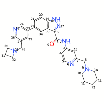 O=C(Nc1ccnc(CN2CCCCC2)c1)c1n[nH]c2ccc(-c3cncc(CN4CCC4)c3)cc12